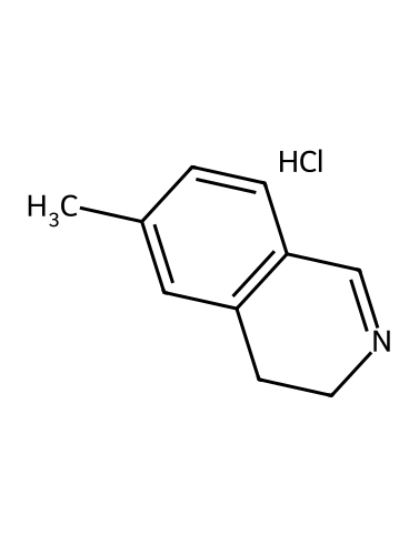 Cc1ccc2c(c1)CCN=C2.Cl